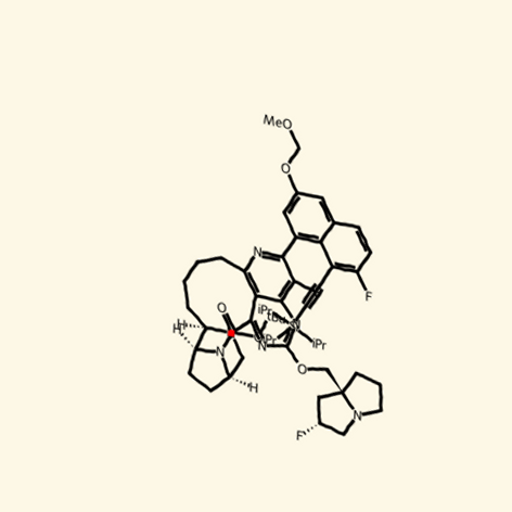 COCOc1cc(-c2nc3c4c(nc(OC[C@@]56CCCN5C[C@H](F)C6)nc4c2F)N2C[C@H]4CC[C@@H]([C@H]2CCCC3)N4C(=O)OC(C)(C)C)c2c(C#C[Si](C(C)C)(C(C)C)C(C)C)c(F)ccc2c1